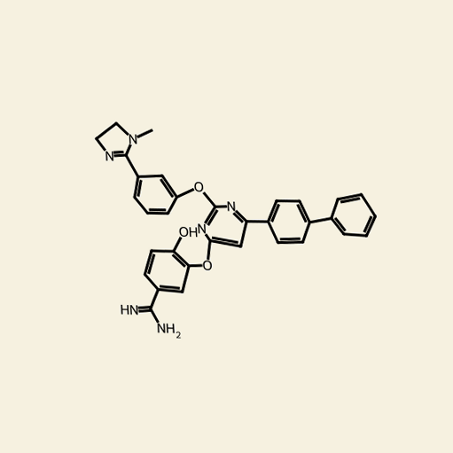 CN1CCN=C1c1cccc(Oc2nc(Oc3cc(C(=N)N)ccc3O)cc(-c3ccc(-c4ccccc4)cc3)n2)c1